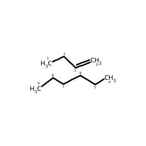 C=CCC.CCCCCC